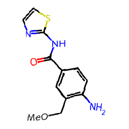 COCc1cc(C(=O)Nc2nccs2)ccc1N